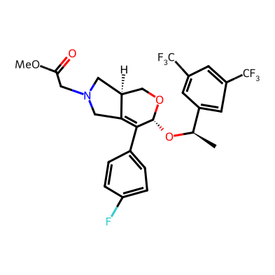 COC(=O)CN1CC2=C(c3ccc(F)cc3)[C@@H](O[C@H](C)c3cc(C(F)(F)F)cc(C(F)(F)F)c3)OC[C@@H]2C1